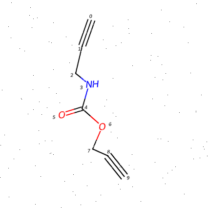 C#CCNC(=O)OCC#C